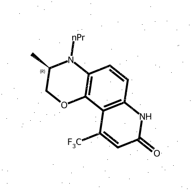 CCCN1c2ccc3[nH]c(=O)cc(C(F)(F)F)c3c2OC[C@H]1C